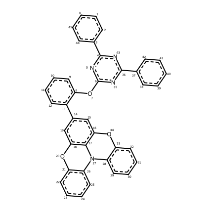 c1ccc(-c2nc(Oc3ccccc3-c3cc4c5c(c3)Oc3ccccc3N5c3ccccc3O4)nc(-c3ccccc3)n2)cc1